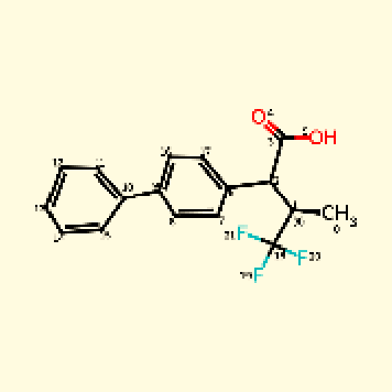 C[C@H](C(C(=O)O)c1ccc(-c2ccccc2)cc1)C(F)(F)F